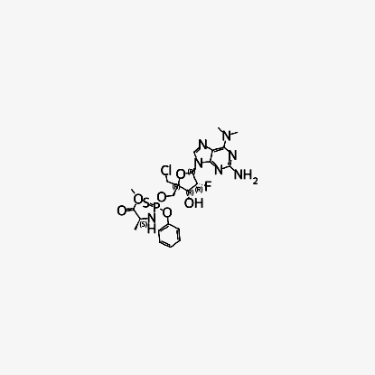 COC(=O)[C@H](C)NP(=S)(OC[C@@]1(CCl)O[C@@H](n2cnc3c(N(C)C)nc(N)nc32)[C@H](F)[C@@H]1O)Oc1ccccc1